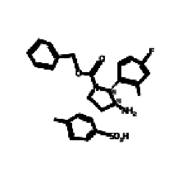 Cc1cc(F)ccc1[C@@H]1[C@@H](N)CCN1C(=O)OCc1ccccc1.Cc1ccc(S(=O)(=O)O)cc1